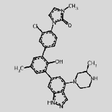 Cc1cc(-c2ccc(-n3ccn(C)c3=O)c(Cl)c2)c(O)c(-c2cc(N3CCN[C@H](C)C3)c3cn[nH]c3c2)c1